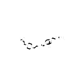 COCCN1CCN(CCOCCN2CC3C[C@H]2CN3CCOC)CC1